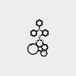 C=C1CCCCC/C=C\c2op(Oc3ccccc3P(c3ccccc3)c3ccccc3)oc3ccc4c(c3c21)CCCC4